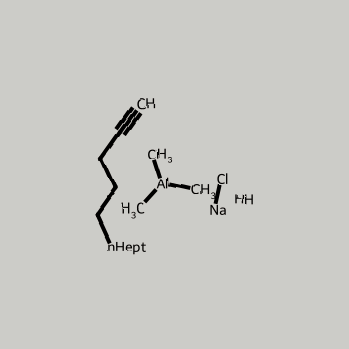 C#CCCCCCCCCCC.[CH3][Al]([CH3])[CH3].[HH].[Na][Cl]